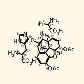 CC(=O)Oc1ccc2c3c1O[C@H]1[C@@H](OC(C)=O)C=C[C@H]4[C@@H](C2)N(C)CC[C@@]341.CC(C)C(N)C(=O)O.N[C@@H](Cc1cnc[nH]1)C(=O)O